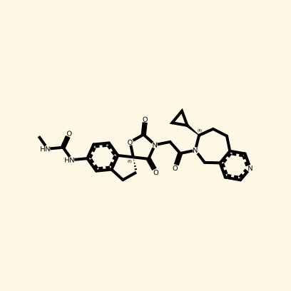 CNC(=O)Nc1ccc2c(c1)CC[C@@]21OC(=O)N(CC(=O)N2Cc3ccncc3CC[C@@H]2C2CC2)C1=O